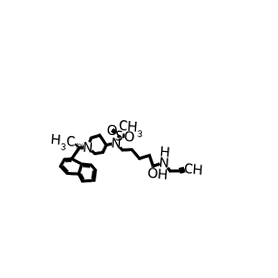 C#CCNC(O)CCCCN(C1CCN([C@H](C)c2cccc3ccccc23)CC1)S(C)(=O)=O